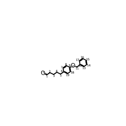 O=CCCCCc1ccc(OCc2ccccc2)cc1